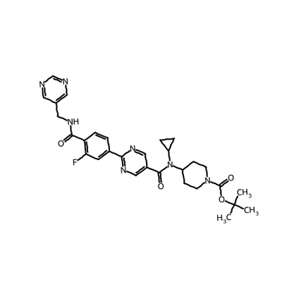 CC(C)(C)OC(=O)N1CCC(N(C(=O)c2cnc(-c3ccc(C(=O)NCc4cncnc4)c(F)c3)nc2)C2CC2)CC1